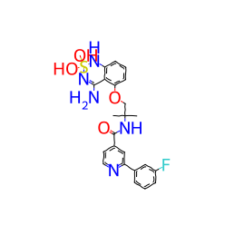 CC(C)(COc1cccc2c1C(N)=NS(O)(O)N2)NC(=O)c1ccnc(-c2cccc(F)c2)c1